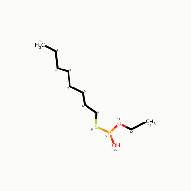 CCCCCCCCSP(O)OCC